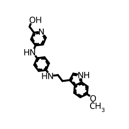 COc1ccc2c(CCNc3ccc(Nc4ccnc(CO)c4)cc3)c[nH]c2c1